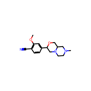 COc1cc(C2CN3CCN(C)CC3CO2)ccc1C#N